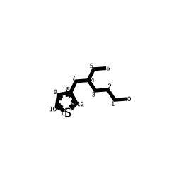 CCCCC(CC)Cc1c[c]sc1